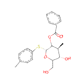 Cc1ccc(S[C@H]2OC(CO)[C@@H](O)[C@H](C)C2OC(=O)c2ccccc2)cc1